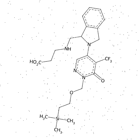 C[Si](C)(C)CCOCn1ncc(N2Cc3ccccc3C2CNCCC(=O)O)c(C(F)(F)F)c1=O